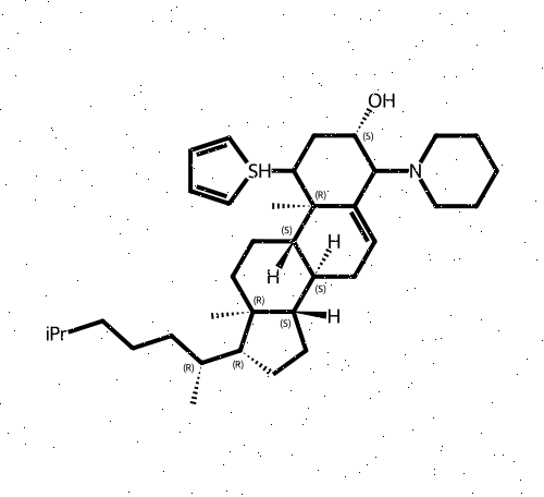 CC(C)CCC[C@@H](C)[C@H]1CC[C@H]2[C@@H]3CC=C4C(N5CCCCC5)[C@@H](O)CC([SH]5C=CC=C5)[C@]4(C)[C@H]3CC[C@]12C